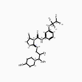 CCCC1CCN(C(CCC)C(CC)C/N=C2\SCC(C)N2C(=S)Nc2cccc(OC(F)(F)C(F)F)c2)CC1